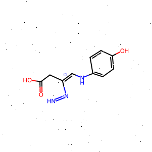 N=N/C(=C\Nc1ccc(O)cc1)CC(=O)O